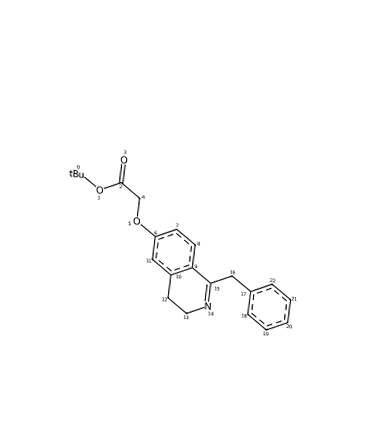 CC(C)(C)OC(=O)COc1ccc2c(c1)CCN=C2Cc1ccccc1